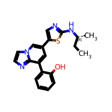 CC[C@@H](C)Nc1ncc(-c2cc(-c3ccccc3O)c3nccn3c2)s1